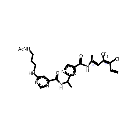 C=C/C(Cl)=C(\C=C(/C)NC(=O)c1cnc(C(C)NC(=O)c2cc(NCCCNC(C)=O)ncn2)s1)C(F)(F)F